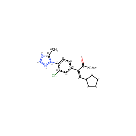 COC(=O)C(=CC1CCCC1)c1ccc(-n2nnnc2C)c(Cl)c1